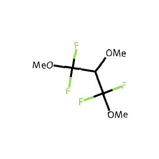 COC(C(F)(F)OC)C(F)(F)OC